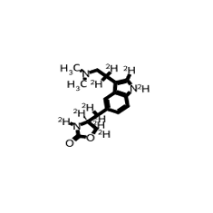 [2H]c1c(C([2H])([2H])CN(C)C)c2cc(C([2H])([2H])[C@]3([2H])N([2H])C(=O)OC3([2H])[2H])ccc2n1[2H]